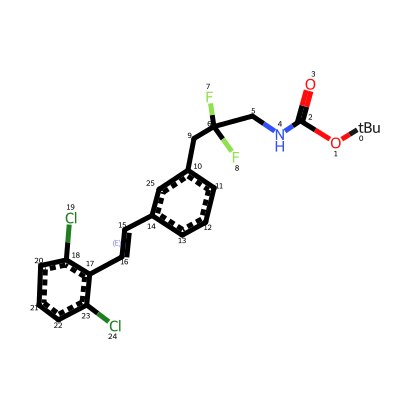 CC(C)(C)OC(=O)NCC(F)(F)Cc1cccc(/C=C/c2c(Cl)cccc2Cl)c1